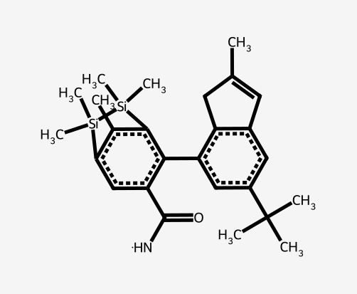 CC1=Cc2cc(C(C)(C)C)cc(-c3c(C([NH])=O)cc4c(C)c3[Si](C)(C)[Si]4(C)C)c2C1